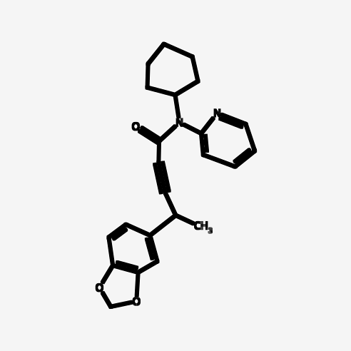 CC(C#CC(=O)N(c1ccccn1)C1CCCCC1)c1ccc2c(c1)OCO2